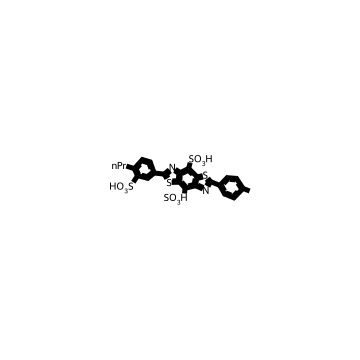 CCCc1ccc(-c2nc3c(S(=O)(=O)O)c4sc(-c5ccc(C)cc5)nc4c(S(=O)(=O)O)c3s2)cc1S(=O)(=O)O